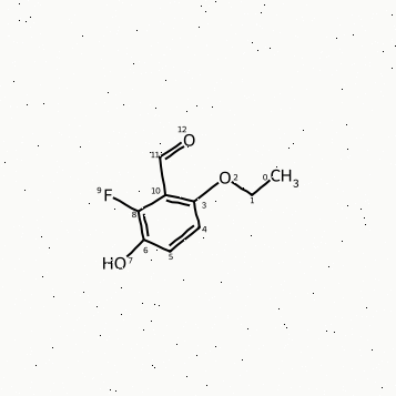 CCOc1ccc(O)c(F)c1C=O